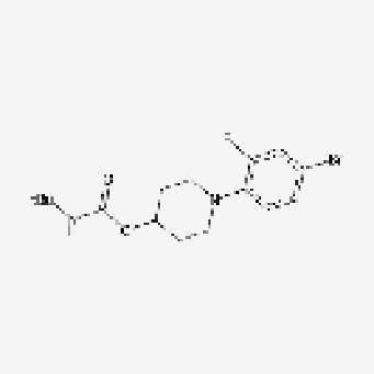 CC(C)(C)NC(=O)OC1CCN(c2ccc(Br)cc2F)CC1